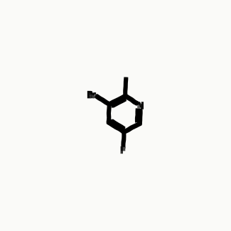 Cc1ncc(F)cc1Br